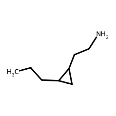 CCCC1CC1CCN